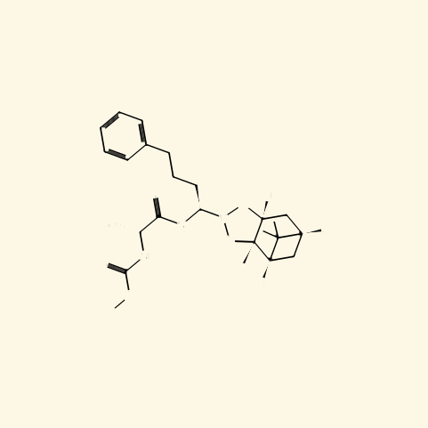 CCC[C@@H](NC(=O)OC(C)(C)C)C(=O)N[C@@H](CCCc1ccccc1)B1O[C@@H]2C[C@@H]3C[C@@H](C3(C)C)[C@]2(C)O1